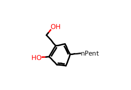 CCCCCc1ccc(O)c(CO)c1